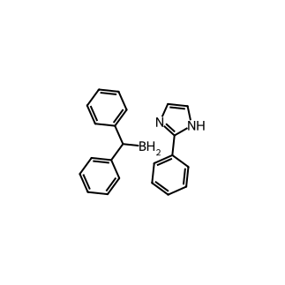 BC(c1ccccc1)c1ccccc1.c1ccc(-c2ncc[nH]2)cc1